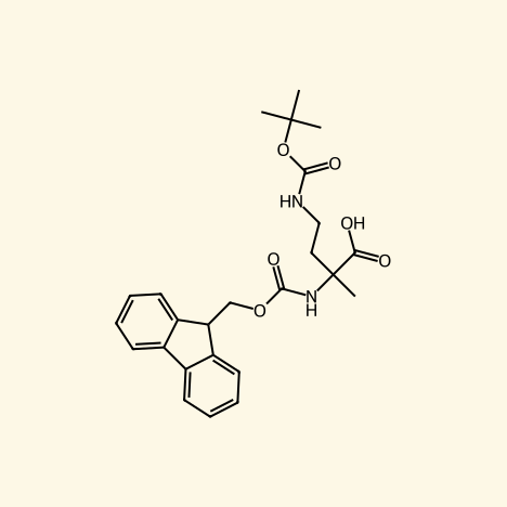 CC(C)(C)OC(=O)NCCC(C)(NC(=O)OCC1c2ccccc2-c2ccccc21)C(=O)O